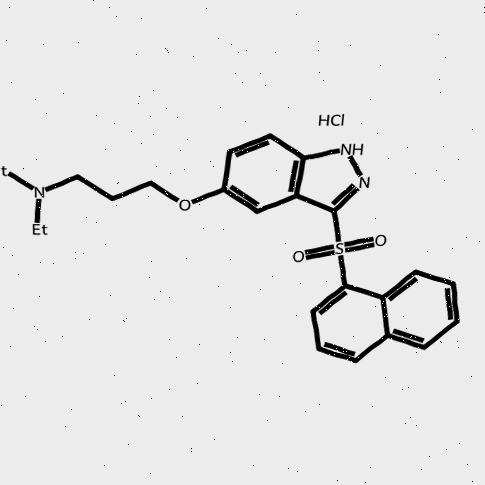 CCN(CC)CCCOc1ccc2[nH]nc(S(=O)(=O)c3cccc4ccccc34)c2c1.Cl